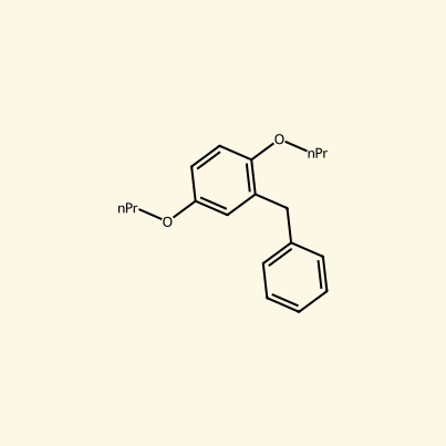 CCCOc1ccc(OCCC)c(Cc2ccccc2)c1